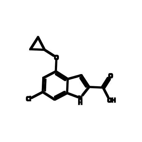 O=C(O)c1cc2c(OC3CC3)cc(Cl)cc2[nH]1